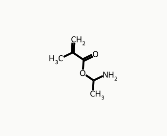 C=C(C)C(=O)OC(C)N